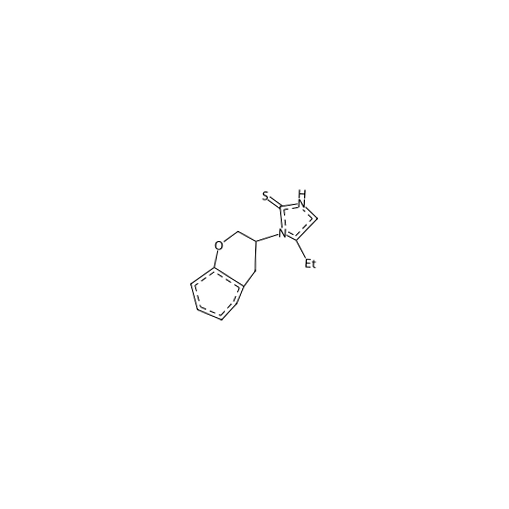 CCc1c[nH]c(=S)n1C1COc2ccccc2C1